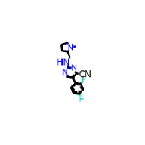 CN1CCCC1CNc1ncc(-c2ccc(F)cc2F)c(C#N)n1